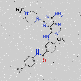 Cc1ccc(C(=O)Nc2ccc(C(F)(F)F)cc2)cc1Nc1ncnc2c(N)nc(N3CCCN(C)CC3)nc12